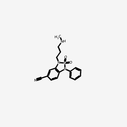 CNCCCN1c2cc(C#N)ccc2N(c2ccccc2)S1(=O)=O